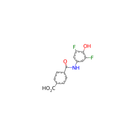 O=C(O)c1ccc(C(=O)Nc2cc(F)c(O)c(F)c2)cc1